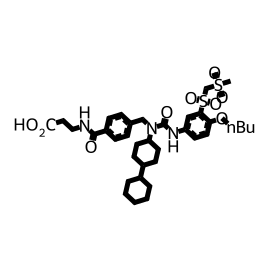 CCCCOc1ccc(NC(=O)N(Cc2ccc(C(=O)NCCC(=O)O)cc2)C2CCC(C3CCCCC3)CC2)cc1S(=O)(=O)CS(C)(=O)=O